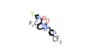 O=C(C1C(C(F)(F)F)CCc2nn(Cc3ccc(C(F)(F)F)nc3)c(=O)n21)N1CC(F)C1